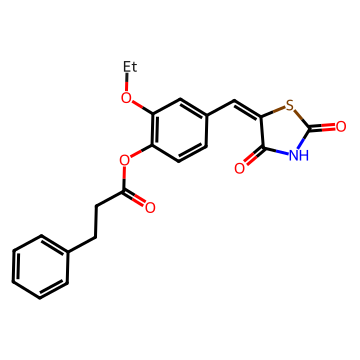 CCOc1cc(C=C2SC(=O)NC2=O)ccc1OC(=O)CCc1ccccc1